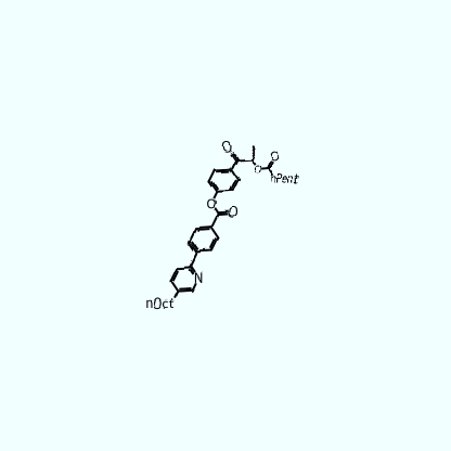 CCCCCCCCc1ccc(-c2ccc(C(=O)Oc3ccc(C(=O)C(C)OC(=O)CCCCC)cc3)cc2)nc1